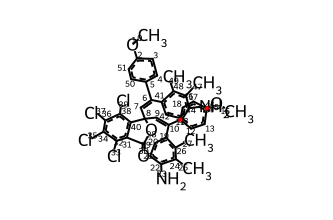 COc1ccc(C(=CC2(C=C(c3ccc(OC)cc3)c3ccc(N)c(C)c3C)OC(=O)c3c(Cl)c(Cl)c(Cl)c(Cl)c32)c2ccc(N)c(C)c2C)cc1